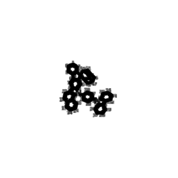 c1ccc2c(c1)-c1cc3c4ccc5ccccc5c4n(-c4ccc(-n5c6ccccc6c6ccccc65)cc4)c3cc1C21C2CC3CC(C2)CC1C3